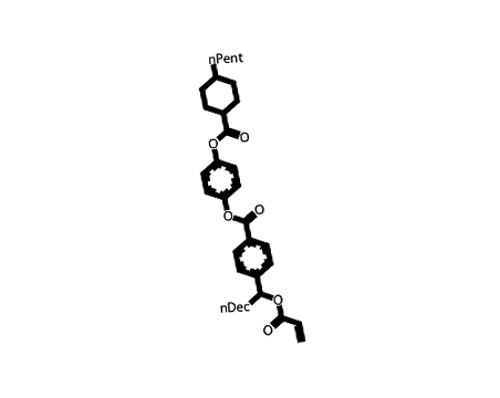 C=CC(=O)OC(CCCCCCCCCC)c1ccc(C(=O)Oc2ccc(OC(=O)C3CCC(CCCCC)CC3)cc2)cc1